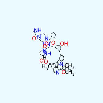 CCn1c(-c2cccnc2[C@H](C)OC)c2c3cc(ccc31)-c1cc(O)cc(c1)C[C@H](NC(=O)C(C1CCCC1)N1CCCN(C(=O)[C@H]3CN3)CCC1=O)C(=O)N1CCC[C@H](N1)C(=O)OCC(C)(C)C2